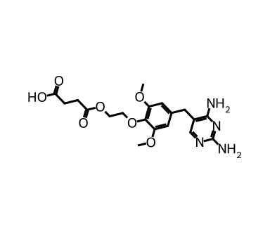 COc1cc(Cc2cnc(N)nc2N)cc(OC)c1OCCOC(=O)CCC(=O)O